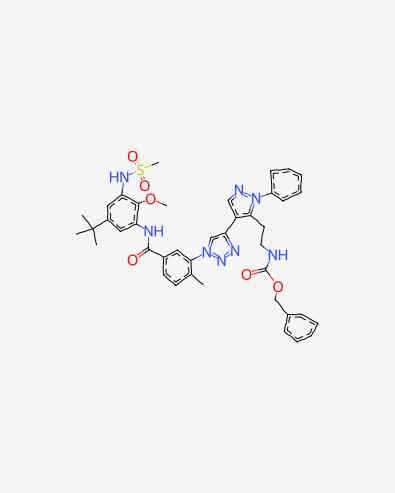 COc1c(NC(=O)c2ccc(C)c(-n3cc(-c4cnn(-c5ccccc5)c4CCNC(=O)OCc4ccccc4)nn3)c2)cc(C(C)(C)C)cc1NS(C)(=O)=O